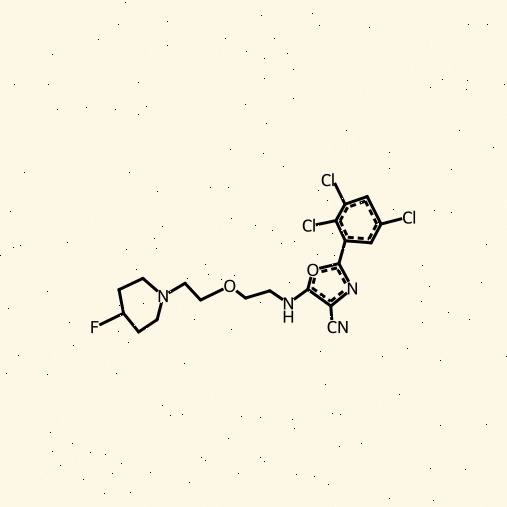 N#Cc1nc(-c2cc(Cl)cc(Cl)c2Cl)oc1NCCOCCN1CCC(F)CC1